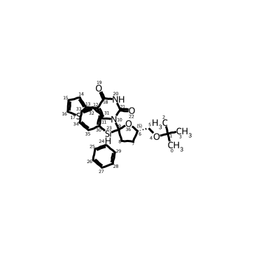 CC(C)(C)OC[C@@H]1CCC(n2cc(-c3cccs3)c(=O)[nH]c2=O)([SiH](c2ccccc2)c2ccccc2)O1